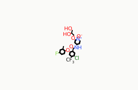 Cc1cc(F)ccc1Oc1cc(C(F)(F)F)c(Cl)cc1C(=O)Nc1cc[n+]([O-])c(OCC(O)CO)c1